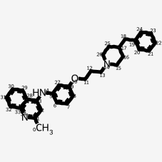 Cc1cc(Nc2cccc(OCCCN3CCC(Cc4ccccc4)CC3)c2)c2ccccc2n1